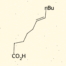 CCCCC=CCCCCC(=O)O